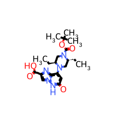 CC[C@@H]1CN(c2cc(=O)[nH]n3cc(C(=O)O)nc23)[C@@H](CC)CN1C(=O)OC(C)(C)C